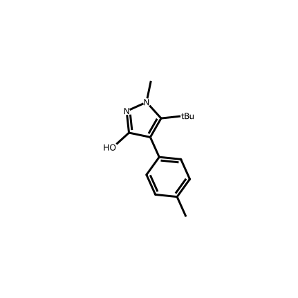 Cc1ccc(-c2c(O)nn(C)c2C(C)(C)C)cc1